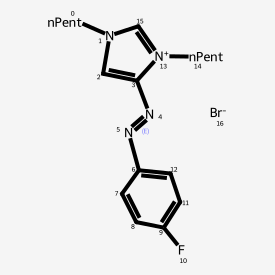 CCCCCn1cc(/N=N/c2ccc(F)cc2)[n+](CCCCC)c1.[Br-]